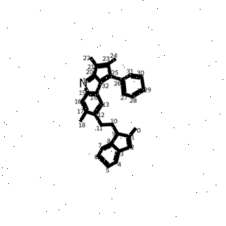 CC1=Cc2ccccc2C1CCc1cc2c(cc1C)N=C1C(C)=C(C)C(c3ccccc3)=C12